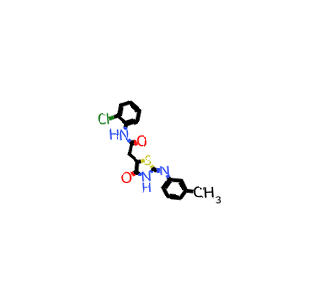 Cc1cccc(/N=C2\NC(=O)C(CC(=O)Nc3ccccc3Cl)S2)c1